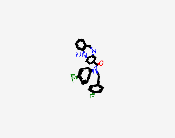 O=C(c1ccc2c(c1)N=Cc1ccccc1N2)N(Cc1ccc(F)cc1)c1ccc(F)cc1